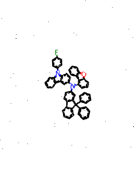 Fc1ccc(-n2c3ccccc3c3cc(N(c4ccc5c(c4)C(c4ccccc4)(c4ccccc4)c4ccccc4-5)c4cccc5oc6ccccc6c45)ccc32)cc1